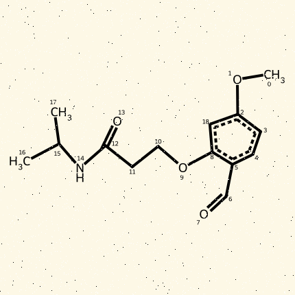 COc1ccc(C=O)c(OCCC(=O)NC(C)C)c1